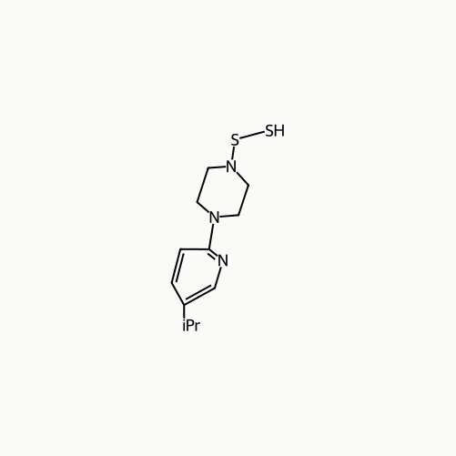 CC(C)c1ccc(N2CCN(SS)CC2)nc1